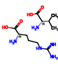 CC(C)[C@H](N)C(=O)O.N=C(N)NCCC[C@H](N)C(=O)O